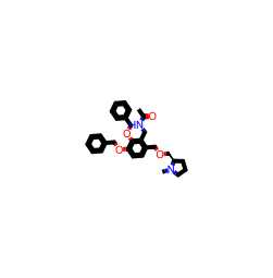 CC(=O)NCc1c(COC[C@H]2CCCN2C)ccc(OCc2ccccc2)c1OCc1ccccc1